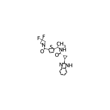 CC(NC(=O)[C@@H]1C[C@H]1c1nc2ccccc2[nH]1)c1ccc(C(=O)N2CC(F)(F)C2)s1